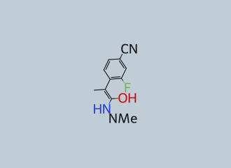 CNN/C(O)=C(\C)c1ccc(C#N)cc1F